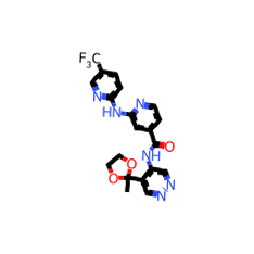 CC1(c2cnncc2NC(=O)c2ccnc(Nc3ccc(C(F)(F)F)cn3)c2)OCCO1